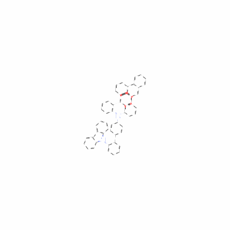 c1cccc(-c2ccccc2N(c2ccc(-c3ccccc3-n3c4ccccc4c4ccccc43)cc2)c2cccc(-c3cc4ccccc4c4ccccc34)c2)c#1